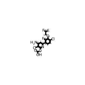 Nc1cc(-c2ccc(Cl)c(OCC(F)F)c2F)nc(OC(=O)O)c1Cl